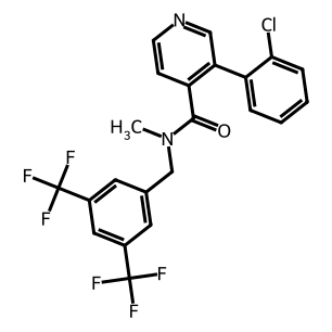 CN(Cc1cc(C(F)(F)F)cc(C(F)(F)F)c1)C(=O)c1ccncc1-c1ccccc1Cl